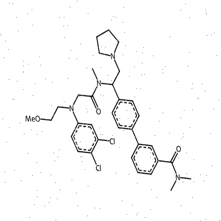 COCCN(CC(=O)N(C)C(CN1CCCC1)c1ccc(-c2cccc(C(=O)N(C)C)c2)cc1)c1ccc(Cl)c(Cl)c1